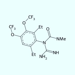 CCc1cc(OC(F)(F)F)c(OC(F)(F)F)c(CC)c1N(C(=N)N)C(=O)NC